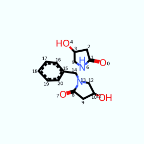 O=C1CC(O)CN1.O=C1CC(O)CN1Cc1ccccc1